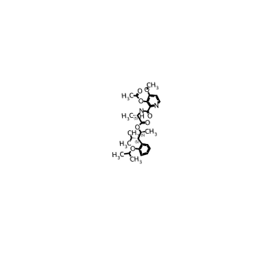 COc1ccnc(C(=O)N[C@@H](C)C(=O)O[C@@H](C)[C@H](c2ccccc2OC(C)C)C(C)C)c1OC(C)=O